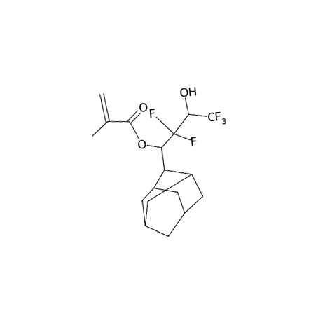 C=C(C)C(=O)OC(C1C2CC3CC(C2)CC1C3)C(F)(F)C(O)C(F)(F)F